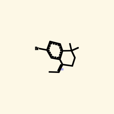 C/C=C1/CCC(C)(C)c2ccc(Br)cc21